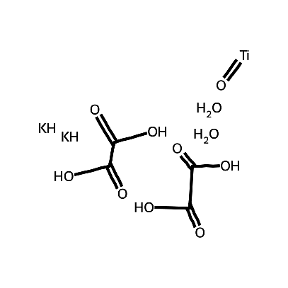 O.O.O=C(O)C(=O)O.O=C(O)C(=O)O.[KH].[KH].[O]=[Ti]